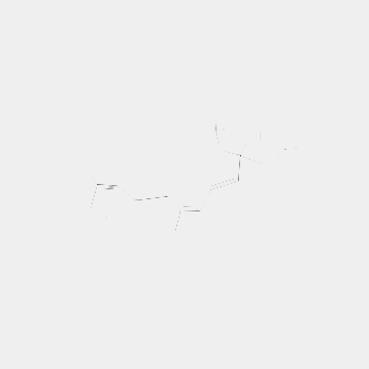 CCC(C)OC(C)(C=CC=C(C)CCC=C(C)C)OC(C)CC